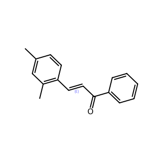 Cc1ccc(/C=C/C(=O)c2ccccc2)c(C)c1